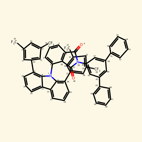 O=C1c2cccc(-n3c4c(-c5cc(C(F)(F)F)cc(C(F)(F)F)c5)cccc4c4cccc(-c5cc(C(F)(F)F)cc(C(F)(F)F)c5)c43)c2C(=O)N1c1cc(-c2ccccc2)cc(-c2ccccc2)c1